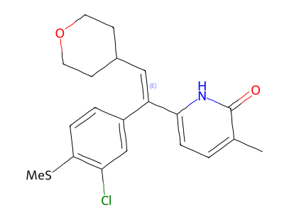 CSc1ccc(/C(=C\C2CCOCC2)c2ccc(C)c(=O)[nH]2)cc1Cl